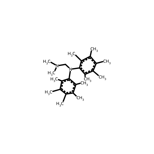 Cc1c(C)c(C)c(N(CN(C)C)c2c(C)c(C)c(C)c(C)c2C)c(C)c1C